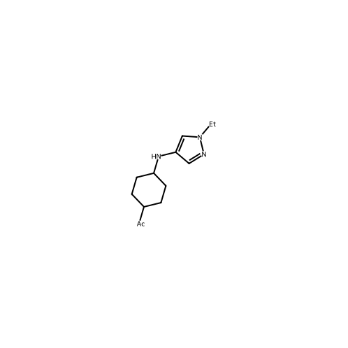 CCn1cc(NC2CCC(C(C)=O)CC2)cn1